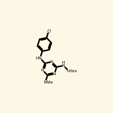 CCCCCCNc1nc(NC)nc(Nc2ccc(Cl)cc2)n1